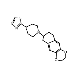 c1nnc(N2CCN(C3CCc4cc5c(cc4C3)OCCO5)CC2)s1